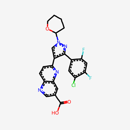 O=C(O)c1cnc2ccc(-c3cn(C4CCCCO4)nc3-c3cc(Cl)c(F)cc3F)nc2c1